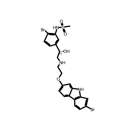 CS(=O)(=O)Nc1cc([C@H](O)CNCCOc2ccc3c(c2)[nH]c2cc(Br)ccc23)ccc1Br